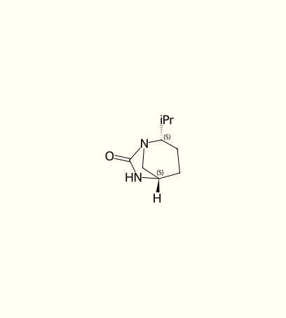 CC(C)[C@@H]1CC[C@H]2CN1C(=O)N2